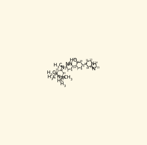 CN(c1ccc(-c2ccc(-c3ccn4ccnc4c3)cc2O)nn1)C1CC(C)(C)NC(C)(C)C1